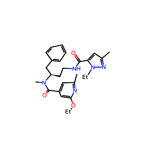 CCOc1cc(C(=O)N(C)[C@H](CCNC(=O)c2cc(C)nn2CC)Cc2ccccc2)cc(C)n1